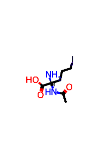 CC(=O)N[C@@](N)(CCCI)C(=O)O